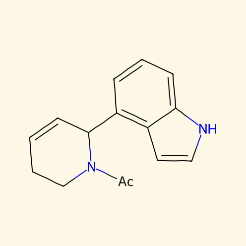 CC(=O)N1CCC=CC1c1cccc2[nH]ccc12